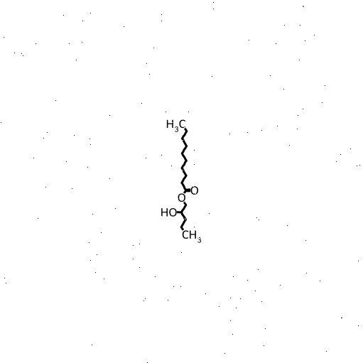 CCCCCCCCCC(=O)OCC(O)CCC